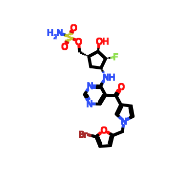 NS(=O)(=O)OC[C@H]1C[C@@H](Nc2ncncc2C(=O)c2ccn(Cc3ccc(Br)o3)c2)[C@@H](F)[C@@H]1O